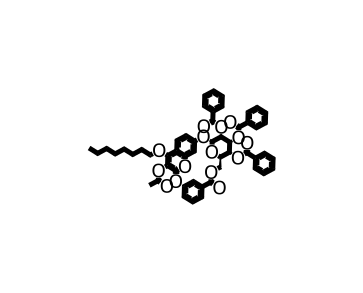 CCCCCCCCOc1c(OC(C)=O)c(=O)oc2cc(O[C@@H]3O[C@H](COC(=O)c4ccccc4)[C@H](OC(=O)c4ccccc4)[C@H](OC(=O)c4ccccc4)[C@H]3OC(=O)c3ccccc3)ccc12